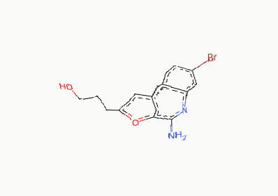 Nc1nc2cc(Br)ccc2c2cc(CCCO)oc12